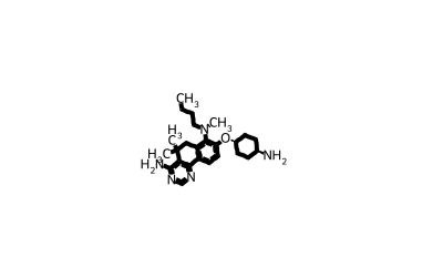 CCCCN(C)c1c(O[C@H]2CC[C@H](N)CC2)ccc2c1CC(C)(C)c1c(N)ncnc1-2